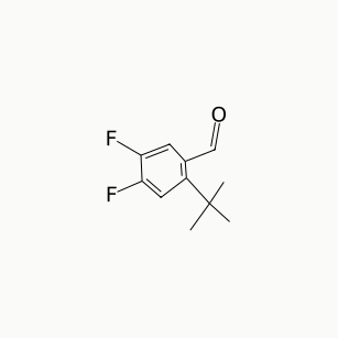 CC(C)(C)c1cc(F)c(F)cc1C=O